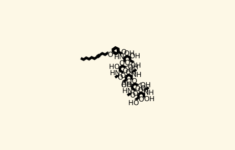 CCCCCCC#CCCCOc1cccc(C(=O)NC2[C@H](O[C@H]3C(O)C(NC(C)=O)[C@H](OC4C(CO)O[C@@H](O[C@H]5C(O)C(NC(C)=O)[C@H](OC6C(CO)OC(O)[C@@H](NC(C)=O)[C@H]6O)O[C@H]5CO)[C@@H](NC(C)=O)[C@H]4O)O[C@H]3CO)OC(CO)[C@@H](O)[C@@H]2O)c1